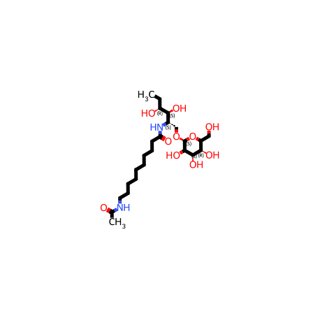 CC[C@@H](O)[C@@H](O)[C@H](CO[C@H]1OC(CO)[C@H](O)[C@H](O)C1O)NC(=O)CCCCCCCCCNC(C)=O